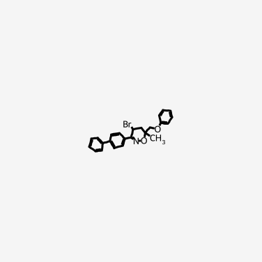 CC1(COc2ccccc2)CC(Br)C(c2ccc(-c3ccccc3)cc2)=NO1